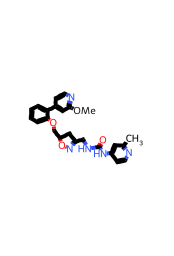 COc1cc(-c2ccccc2OCC2CC(CNC(=O)Nc3ccnc(C)c3)=NO2)ccn1